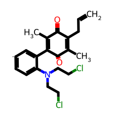 C=CCC1=C(C)C(=O)C(c2c[c]ccc2N(CCCl)CCCl)=C(C)C1=O